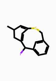 CC1C=C2C=C(C1)C(I)c1cccc(c1)CS2